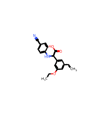 C=Cc1cc(OCC)cc(C(Nc2ccc(C#N)cc2)C(=O)O)c1